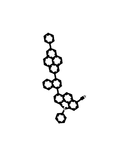 N#Cc1ccc2c3c1ccc1c(-c4ccc(-c5cc6ccc7cc(-c8ccccc8)cc8ccc(c5)c6c78)c5ccccc45)ccc(c13)n2-c1ccccc1